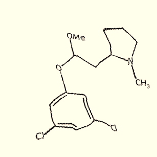 COC(CC1CCCN1C)Oc1cc(Cl)cc(Cl)c1